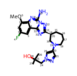 COc1cc(F)cc2c1nc(N)n1nc([C@H]3CCCCN(c4cnn(CC(C)(C)O)c4)C3)nc21